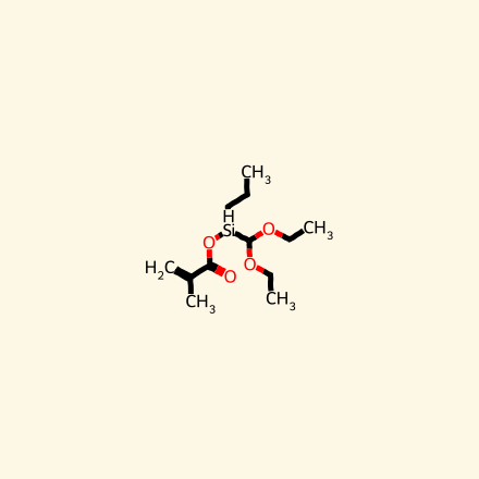 C=C(C)C(=O)O[SiH](CCC)C(OCC)OCC